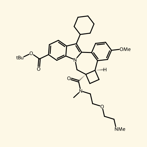 CNCCOCCN(C)C(=O)[C@@]12CC[C@@H]1c1cc(OC)ccc1-c1c(C3CCCCC3)c3ccc(C(=O)OC(C)(C)C)cc3n1C2